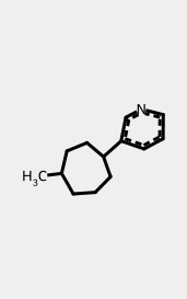 CC1CCCC(c2cccnc2)CC1